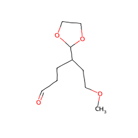 COCCC(CCC=O)C1OCCO1